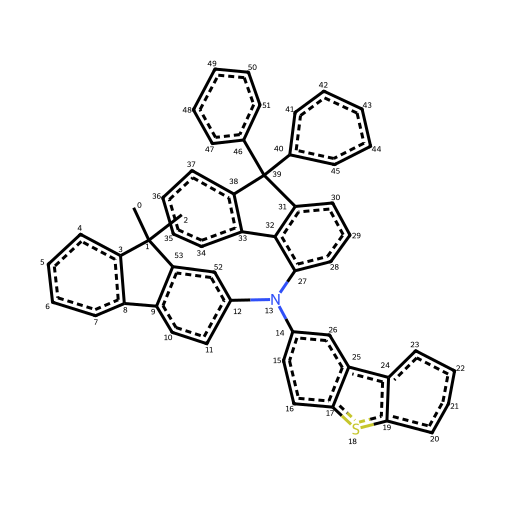 CC1(C)c2ccccc2-c2ccc(N(c3ccc4sc5ccccc5c4c3)c3cccc4c3-c3ccccc3C4(c3ccccc3)c3ccccc3)cc21